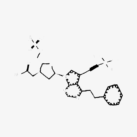 C[Si](C)(C)C#Cc1cn([C@H]2C[C@@H](CC(=O)O)[C@H](COS(N)(=O)=O)O2)c2ncnc(CCc3ccccc3)c12